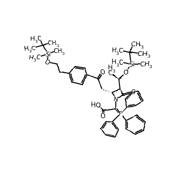 C[C@@H](O[Si](C)(C)C(C)(C)C)[C@H]1C(=O)N(C(C(=O)O)=P(c2ccccc2)(c2ccccc2)c2ccccc2)[C@@H]1CC(=O)c1ccc(CCO[Si](C)(C)C(C)(C)C)cc1